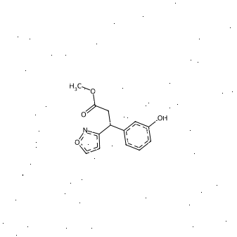 COC(=O)CC(c1cccc(O)c1)c1ccon1